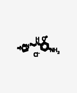 COc1cc(N)ccc1NCC[n+]1ccn(C)c1.[Cl-]